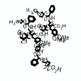 COc1ccc([C@H](Cc2c(Cl)c[n+]([O-])cc2Cl)c2cc(CNC(C(=O)OC3CN(C)C3)c3ccccc3)sc2C(=O)O)cc1OC.COc1ccc([C@H](Cc2c(Cl)c[n+]([O-])cc2Cl)c2cc(CNC(C(=O)O[C@@H]3CCN(C)C3)c3ccccc3)sc2C(=O)O)cc1OC.O=C(O)c1ccc(CNC(C(=O)O[C@H]2CN3CCC2CC3)c2ccccc2)s1